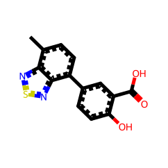 Cc1ccc(-c2ccc(O)c(C(=O)O)c2)c2nsnc12